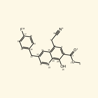 COC(=O)c1cc(CC#N)c2cc(Cc3ccc(F)cc3)cnc2c1O